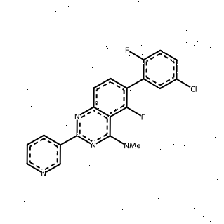 CNc1nc(-c2cccnc2)nc2ccc(-c3cc(Cl)ccc3F)c(F)c12